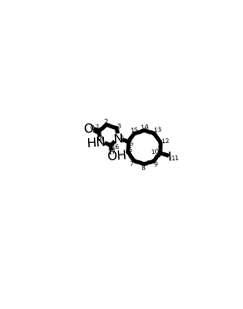 O=C1CCN(C2CCCCC(I)CCCC2)C(O)N1